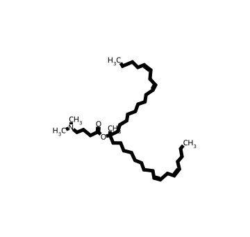 CCCC/C=C\C/C=C\CCCCCCCCC(C)(CCCCCCCC/C=C\C/C=C\CCCC)OC(=O)CCCN(C)C